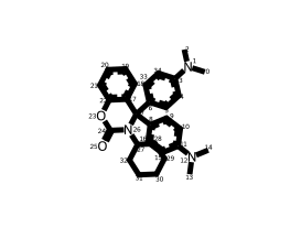 CN(C)c1ccc(C2(c3ccc(N(C)C)cc3)c3ccccc3OC(=O)N2C2CCCCC2)cc1